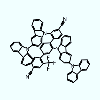 N#Cc1ccc(-c2ccc(-c3ccc(C#N)cc3C(F)(F)F)cc2-n2c3ccccc3c3cc(-n4c5ccccc5c5ccccc54)ccc32)c(-n2c3ccccc3c3cc(-n4c5ccccc5c5ccccc54)ccc32)c1